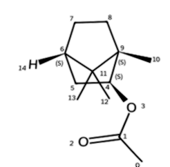 CC(=O)O[C@H]1C[C@@H]2CC[C@@]1(C)C2(C)C